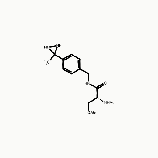 COC[C@@H](NC(C)=O)C(=O)NCc1ccc(C2(C(F)(F)F)NN2)cc1